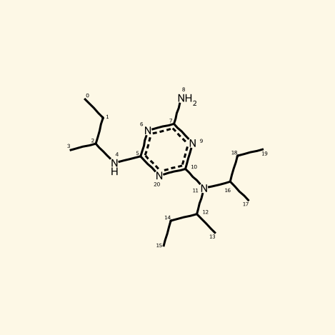 CCC(C)Nc1nc(N)nc(N(C(C)CC)C(C)CC)n1